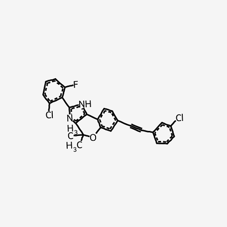 CC1(C)Oc2cc(C#Cc3cccc(Cl)c3)ccc2-c2[nH]c(-c3c(F)cccc3Cl)nc21